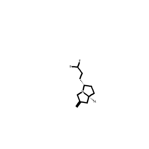 C=C1C[C@@H]2CC[C@@H](CCC(F)F)N2C1